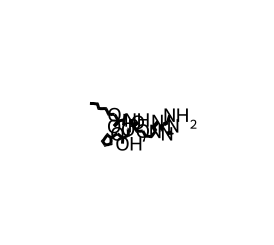 CCCCCOC(=O)C(C)(C)NP(=O)(CO[C@H](C)Cn1cnc2c(N)ncnc21)OCC(O)OC1CCCC1